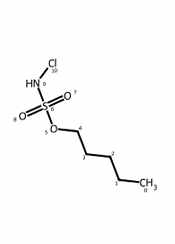 CCCCCOS(=O)(=O)NCl